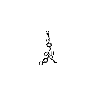 CC=CCOC(C(=O)NCCc1ccc(OCC#COC)cc1)c1ccc(Cl)cc1